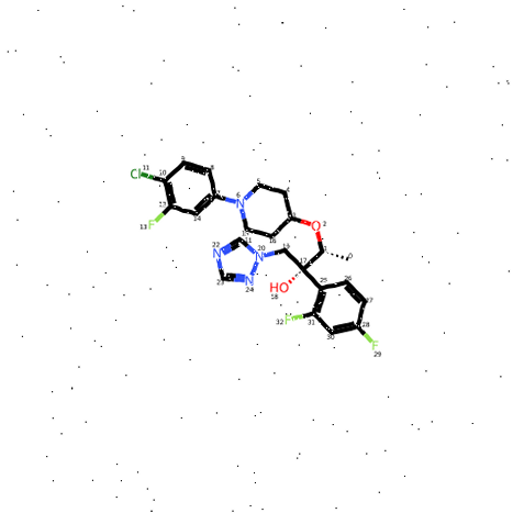 C[C@@H](OC1CCN(c2ccc(Cl)c(F)c2)CC1)[C@](O)(Cn1cncn1)c1ccc(F)cc1F